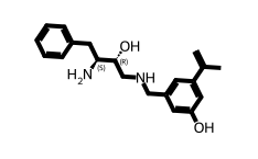 C=C(C)c1cc(O)cc(CNC[C@@H](O)[C@@H](N)Cc2ccccc2)c1